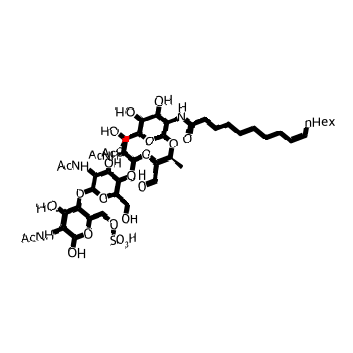 CCCCCC/C=C\CCCCCCCC(=O)NC1C(O[C@@H](C)C(CO)OC(OC2C(CO)OC(OC3C(COS(=O)(=O)O)OC(O)C(NC(C)=O)C3O)C(NC(C)=O)C2O)[C@H](CO)NC(C)=O)OC(COC(C)=O)C(O)C1O